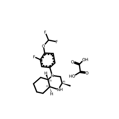 C[C@@H]1CN(c2ccc(OC(F)F)c(F)c2)[C@H]2CCCC[C@@H]2N1.O=C(O)C(=O)O